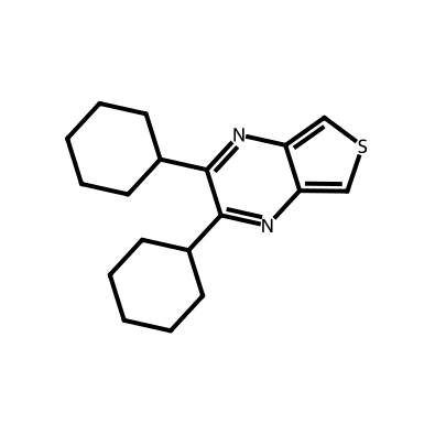 c1scc2nc(C3CCCCC3)c(C3CCCCC3)nc12